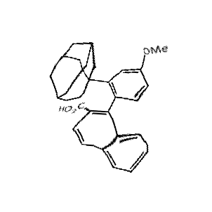 COc1ccc(-c2c(C(=O)O)ccc3ccccc23)c(C23CC4CC(CC(C4)C2)C3)c1